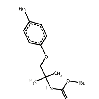 CC(C)(COc1ccc(O)cc1)NC(=O)OC(C)(C)C